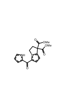 COC(=O)C1(C(=O)OC)CCn2c(C(=O)c3ccc[nH]3)ccc21